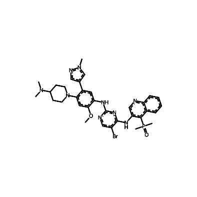 COc1cc(N2CCC(N(C)C)CC2)c(-c2cnn(C)c2)cc1Nc1ncc(Br)c(Nc2cnc3ccccc3c2P(C)(C)=O)n1